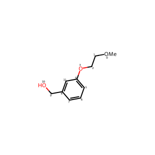 COCCOc1cccc([CH]O)c1